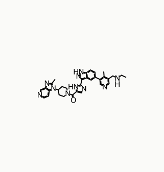 CCNCc1cncc(-c2ccc3[nH]nc(-c4ncc(C(=O)N5CCC(n6c(C)nc7cnccc76)CC5)[nH]4)c3c2)c1C